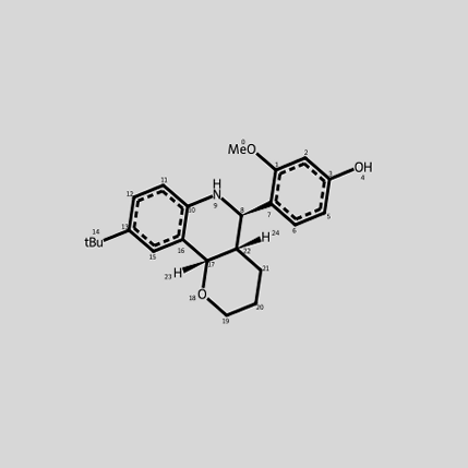 COc1cc(O)ccc1[C@@H]1Nc2ccc(C(C)(C)C)cc2[C@H]2OCCC[C@H]21